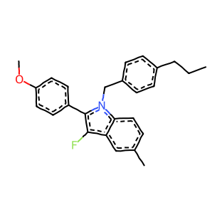 CCCc1ccc(Cn2c(-c3ccc(OC)cc3)c(F)c3cc(C)ccc32)cc1